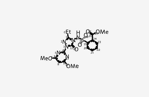 CCc1nn(-c2nc(OC)cc(OC)n2)c(=O)n1NS(=O)(=O)c1ccccc1C(=O)OC